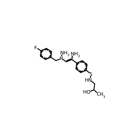 CC(O)CNSc1ccc(/C(N)=C/N(N)Cc2ccc(F)cc2)cc1